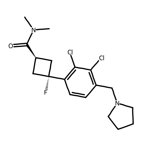 CN(C)C(=O)[C@H]1C[C@@](F)(c2ccc(CN3CCCC3)c(Cl)c2Cl)C1